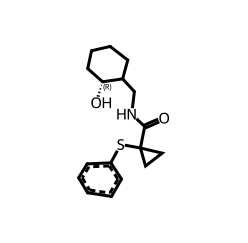 O=C(NCC1CCCC[C@H]1O)C1(Sc2ccccc2)CC1